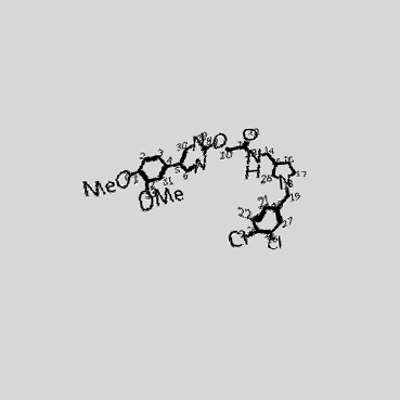 COc1ccc(-c2cnc(OCC(=O)NCC3CCN(Cc4ccc(Cl)c(Cl)c4)C3)nc2)cc1OC